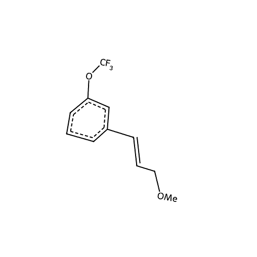 [CH2]OCC=Cc1cccc(OC(F)(F)F)c1